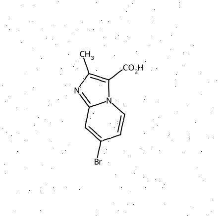 Cc1nc2cc(Br)ccn2c1C(=O)O